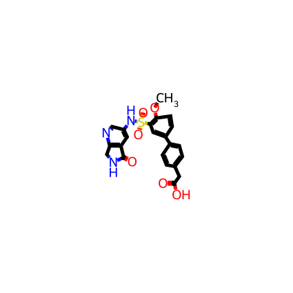 COc1ccc(-c2ccc(CC(=O)O)cc2)cc1S(=O)(=O)Nc1cnc2c(c1)C(=O)NC2